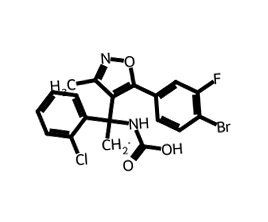 [CH2]C(NC(=O)O)(c1ccccc1Cl)c1c(C)noc1-c1ccc(Br)c(F)c1